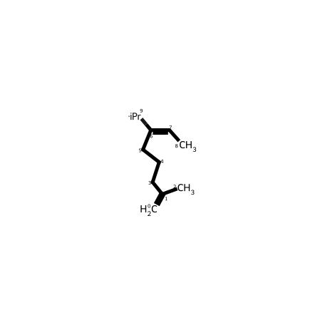 C=C(C)CCCC(=CC)[C](C)C